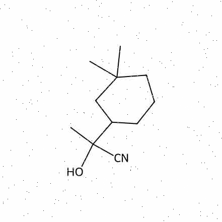 CC1(C)CCCC(C(C)(O)C#N)C1